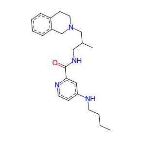 CCCCNc1ccnc(C(=O)NCC(C)CN2CCc3ccccc3C2)c1